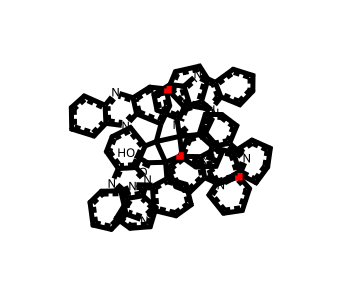 O=C(O)C(c1cccc2nc3ccccc3nc12)(c1cccc2nc3ccccc3nc12)C(c1cccc2nc3ccccc3nc12)(c1cccc2nc3ccccc3nc12)C(c1cccc2nc3ccccc3nc12)(c1cccc2nc3ccccc3nc12)c1cccc2nc3ccccc3nc12